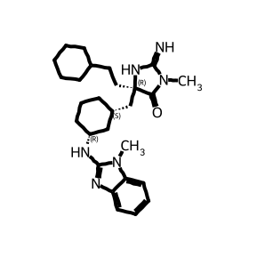 CN1C(=N)N[C@](CCC2CCCCC2)(C[C@H]2CCC[C@@H](Nc3nc4ccccc4n3C)C2)C1=O